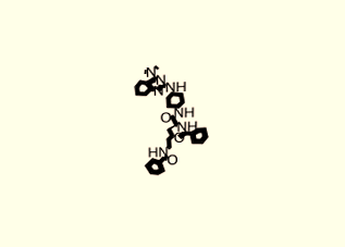 CN(C)c1nc(N[C@H]2CC[C@@H](NC(=O)[C@H](CCCCNC(=O)c3ccccc3)NC(=O)c3ccccc3)CC2)nc2c1CCCC2